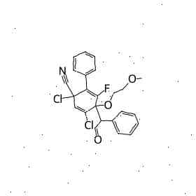 COCCOC1(C(C=O)c2ccccc2)C(Cl)=CC(Cl)(C#N)C(c2ccccc2)=C1F